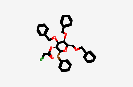 O=C(CCl)O[C@@H]1[C@@H](OCc2ccccc2)[C@@H](OCc2ccccc2)[C@@H](COCc2ccccc2)O[C@H]1Sc1ccccc1